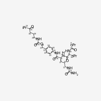 CCCC(=O)N[C@H](C(=O)N[C@@H](CCCNC(N)=O)C(=O)Nc1ccc(COC(=O)NCCCC(=O)C(C)C)cc1)C(C)C